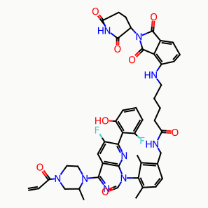 C=CC(=O)N1CCN(/C(=N/C)c2cc(F)c(-c3c(O)cccc3F)nc2N(C=O)c2c(C)ccc(CNC(=O)CCCCNc3cccc4c3C(=O)N(C3CCC(=O)NC3=O)C4=O)c2C)C(C)C1